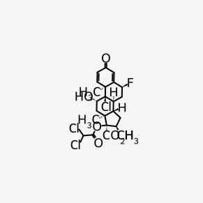 C[C@@H]1C[C@H]2[C@@H]3C[C@H](F)C4=CC(=O)C=C[C@]4(C)[C@@]3(Cl)[C@@H](O)C[C@]2(C)[C@@]1(OC(=O)C(Cl)Cl)C(=O)O